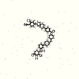 Cc1c(N2CCC3(CCN(c4ccc(C(=O)N5CCC(CN6CCN(c7cccc(N[C@H]8CCC(=O)NC8=O)c7)CC6)CC5)cc4)CC3)C2)ccc(C#N)c1Cl